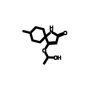 CC1CCC2(CC1)NC(=O)C=C2OC(C)O